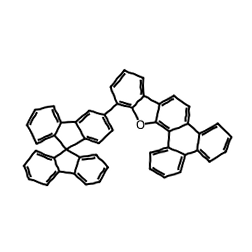 c1ccc2c(c1)-c1ccccc1C21c2ccccc2-c2cc(-c3cccc4c3oc3c4ccc4c5ccccc5c5ccccc5c43)ccc21